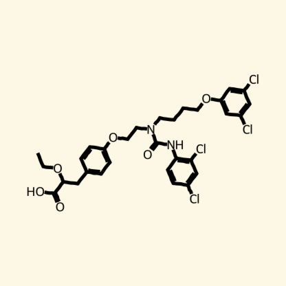 CCOC(Cc1ccc(OCCN(CCCCOc2cc(Cl)cc(Cl)c2)C(=O)Nc2ccc(Cl)cc2Cl)cc1)C(=O)O